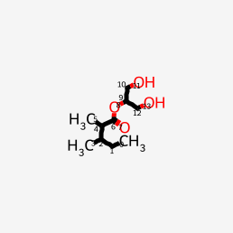 CCC(C)C(C)C(=O)OC(CO)CO